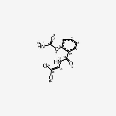 CNC(=O)Oc1ccccc1C(=O)NC=C(Cl)Cl